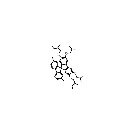 CCC(C)COc1cc2c(cc1OCC(C)C)-c1cc(OCC(C)C)c(OCC(C)CC)cc1C21c2cc(C)ccc2-c2ccc(C)cc21